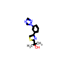 CC(C)(O)c1nc(-c2cc[c]c(-n3cncn3)c2)cs1